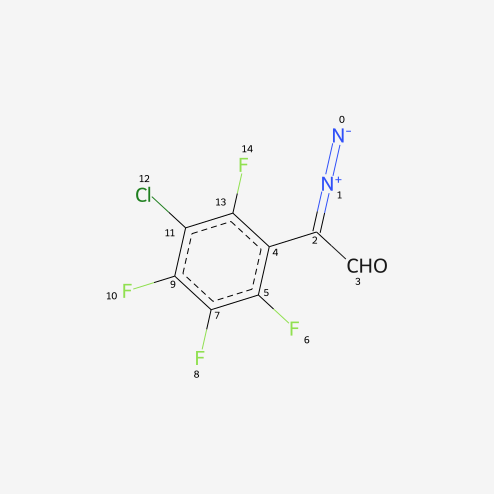 [N-]=[N+]=C(C=O)c1c(F)c(F)c(F)c(Cl)c1F